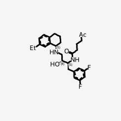 CCc1ccc2c(c1)[C@@H](NC[C@@H](O)[C@H](Cc1cc(F)cc(F)c1)NC(=O)CCCC(C)=O)CCC2